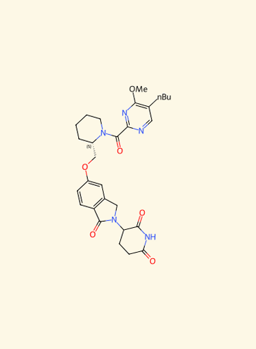 CCCCc1cnc(C(=O)N2CCCC[C@H]2COc2ccc3c(c2)CN(C2CCC(=O)NC2=O)C3=O)nc1OC